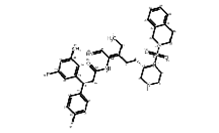 CC/C(CC[C@H]1CNCCN1S(=O)(=O)N1CCc2ccccc2C1)=C(\C=N)NC(=O)C[C@@H](c1ccc(F)cc1)c1cc(C)cc(F)c1